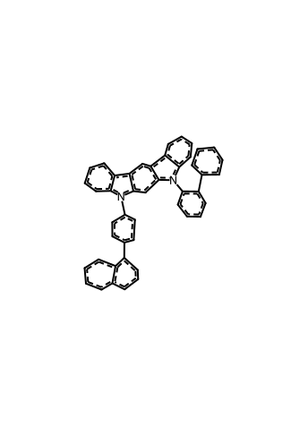 c1ccc(-c2ccccc2-n2c3ccccc3c3cc4c5ccccc5n(-c5ccc(-c6cccc7ccccc67)cc5)c4cc32)cc1